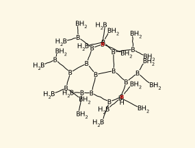 BBB(B)B(B(B)B)B(B(B(B(B)B)B(B)B)B(B(B)B)B(B)B)B(B(B(B)B)B(B)B)B(B(B)B)B(B)B